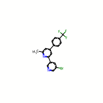 Cc1cc(-c2ccc(C(F)(F)F)cc2)cc(-c2cncc(Br)c2)n1